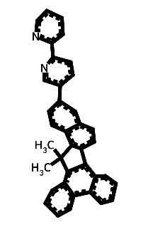 CC1(C)c2c(ccc3cc(-c4ccc(-c5ccccn5)nc4)ccc23)-c2c1c1ccccc1c1ccccc21